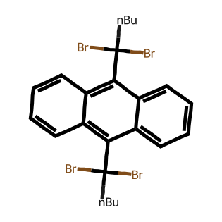 CCCCC(Br)(Br)c1c2ccccc2c(C(Br)(Br)CCCC)c2ccccc12